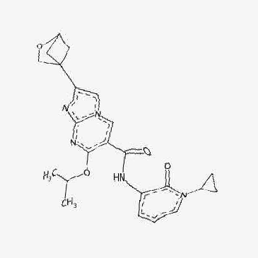 CC(C)Oc1nc2nc(C34COC(C3)C4)cn2cc1C(=O)Nc1cccn(C2CC2)c1=O